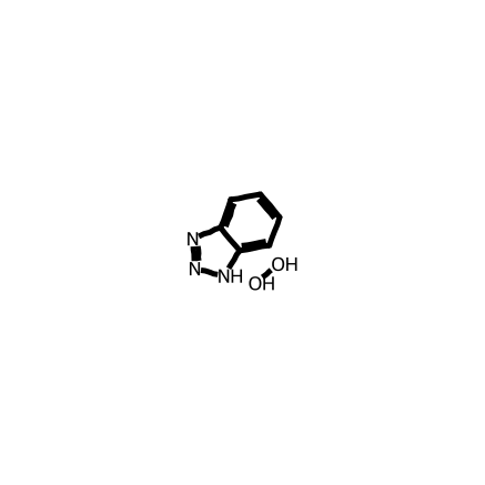 OO.c1ccc2[nH]nnc2c1